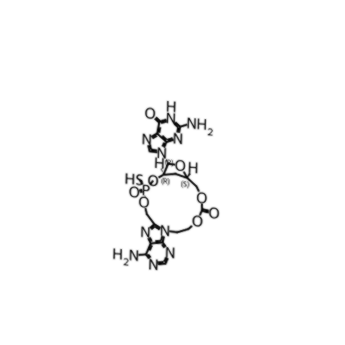 Nc1nc2c(ncn2[C@@H]2O[C@@H]3COC(=O)OCCn4c(nc5c(N)ncnc54)COP(=O)(S)O[C@@H]2C3)c(=O)[nH]1